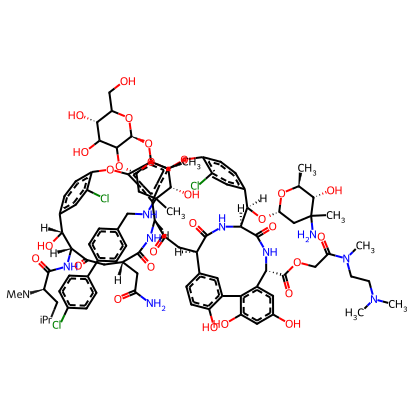 CN[C@H](CC(C)C)C(=O)N[C@H]1C(=O)C[C@@H](CC(N)=O)C(=O)N[C@H]2C(=O)C[C@H]3C(=O)N[C@H](C(=O)N[C@H](C(=O)OCC(=O)N(C)CCN(C)C)c4cc(O)cc(O)c4-c4cc3ccc4O)[C@H](O[C@H]3CC(C)(N)[C@@H](O)[C@H](C)O3)c3ccc(c(Cl)c3)Oc3cc2cc(c3O[C@@H]2OC(CO)[C@@H](O)C(O)C2O[C@H]2CC(C)(NCc3ccc(-c4ccc(Cl)cc4)cc3)[C@@H](O)[C@H](C)O2)Oc2ccc(cc2Cl)[C@H]1O